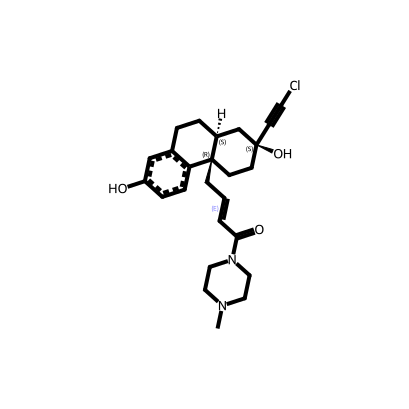 CN1CCN(C(=O)/C=C/C[C@]23CC[C@@](O)(C#CCl)C[C@@H]2CCc2cc(O)ccc23)CC1